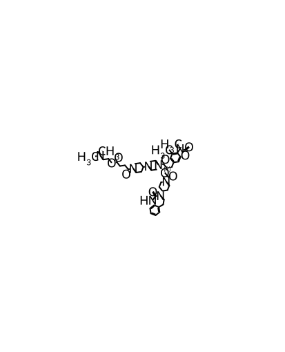 Cc1cc(C[C@@H](OC(=O)N2CCC(N3CCc4ccccc4NC3=O)CC2)C(=O)N2CCN(C3CCN(C(=O)CCC(=O)OCCN(C)C)CC3)CC2)cc2oc(=O)n(C)c12